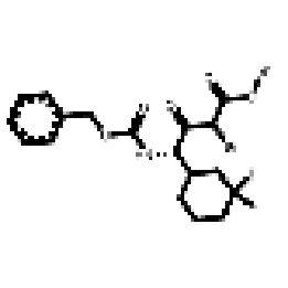 CC(C)(C)OC(=O)C(Br)C(=O)[C@@H](NC(=O)OCc1ccccc1)C1CCCC(F)(F)C1